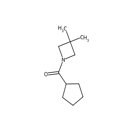 CC1(C)CN(C(=O)C2CCCC2)C1